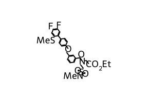 CCOC(=O)CN(CCS(=O)(=O)NC)C(=O)c1cccc(COc2ccc(-c3cc(F)c(F)cc3SC)cc2)c1